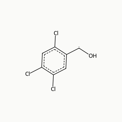 O[CH]c1cc(Cl)c(Cl)cc1Cl